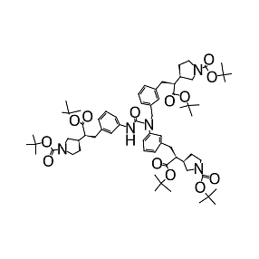 CC(C)(C)OC(=O)[C@@H](Cc1cccc(CN(C(=O)Nc2cccc(C[C@H](C(=O)OC(C)(C)C)[C@H]3CCN(C(=O)OC(C)(C)C)C3)c2)c2cccc(C[C@H](C(=O)OC(C)(C)C)[C@H]3CCN(C(=O)OC(C)(C)C)C3)c2)c1)[C@H]1CCN(C(=O)OC(C)(C)C)C1